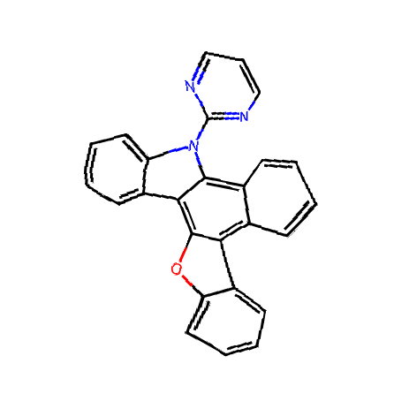 c1cnc(-n2c3ccccc3c3c4oc5ccccc5c4c4ccccc4c32)nc1